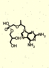 CC(Cn1cnc2c(N)nc(N)nc21)OCP(=O)(O)OCC(O)CO